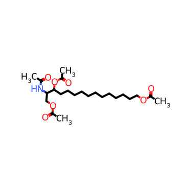 CC(=O)NC(COC(C)=O)C(CCCCCCCCCCCCOC(C)=O)OC(C)=O